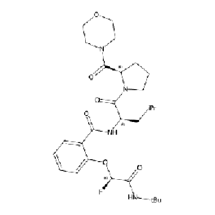 CC(C)C[C@@H](NC(=O)c1ccccc1O[C@H](F)C(=O)NC(C)(C)C)C(=O)N1CCC[C@@H]1C(=O)N1CCOCC1